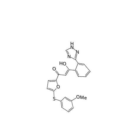 COc1cccc(Sc2ccc(C(=O)C=C(O)c3ccccc3-c3nc[nH]n3)o2)c1